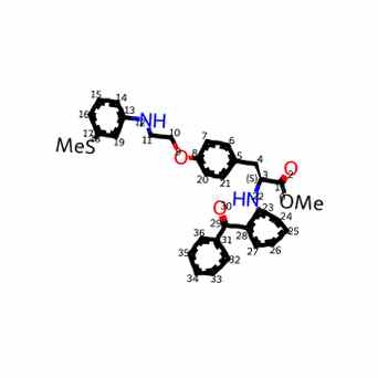 COC(=O)[C@H](Cc1ccc(OCCNc2cccc(SC)c2)cc1)Nc1ccccc1C(=O)c1ccccc1